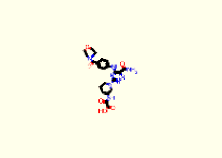 NC(=O)c1nnc(N2CCCC(NC(=O)C(=O)O)C2)nc1Nc1ccc(C(=O)N2CCOCC2)cc1